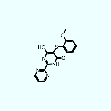 COc1ccccc1Sc1c(O)nc(-c2ncccn2)[nH]c1=O